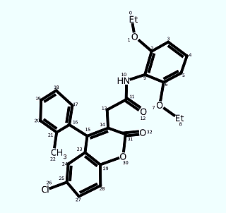 CCOc1cccc(OCC)c1NC(=O)Cc1c(-c2ccccc2C)c2cc(Cl)ccc2oc1=O